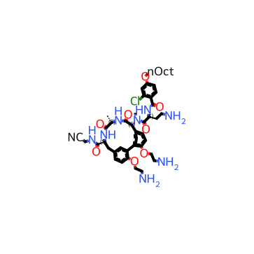 CCCCCCCCOc1ccc(C(=O)N[C@@H](CCN)C(=O)N(C)[C@@H]2C(=O)N[C@@H](C)C(=O)N[C@H](C(=O)NCC#N)Cc3ccc(OCCN)c(c3)-c3cc2ccc3OCCN)c(Cl)c1